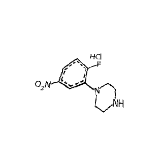 Cl.O=[N+]([O-])c1ccc(F)c(N2CCNCC2)c1